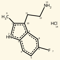 Cc1[nH]c2ccc(F)cc2c1CCN.Cl